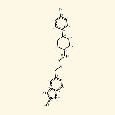 O=c1[nH]c2ccc(CCCNC3CCC(c4ccc(F)cc4)CC3)cc2o1